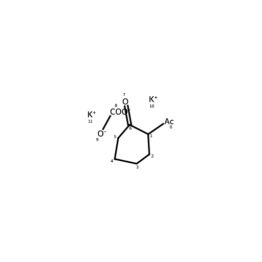 CC(=O)C1CCCCC1=O.O=C([O-])[O-].[K+].[K+]